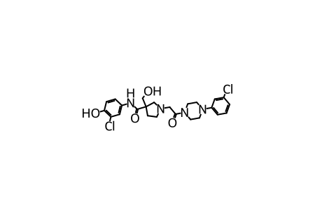 O=C(CN1CCC(CO)(C(=O)Nc2ccc(O)c(Cl)c2)C1)N1CCN(c2cccc(Cl)c2)CC1